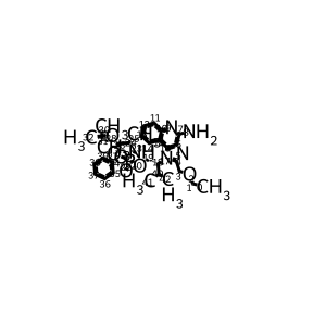 CCOCc1nc2c(N)nc3ccccc3c2n1[C@@H](COP(=O)(N[C@@H](C)C(=O)OC(C)(C)C)Oc1ccccc1)C(C)C